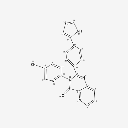 O=c1c2ncccc2nc(-c2ccc(-c3ccc[nH]3)cc2)n1-c1ccc(Cl)cn1